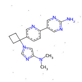 CN(C)c1cn(C2(c3ccc(-c4cnc(N)nc4)nc3)CCC2)cn1